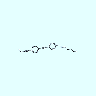 CCC#Cc1ccc(C#Cc2ccc(CCCCCCC)cc2)cc1